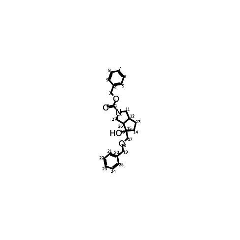 O=C(OCc1ccccc1)N1CC2CCC(O)(COCc3ccccc3)C2C1